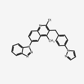 CCc1nc2ccc(-n3nnc4ccccc43)cc2c(C)c1Cc1ccc(-n2cccn2)cc1